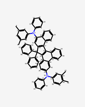 Cc1cc(C)cc(N(c2ccccc2)c2cc3c(c4ccccc24)-c2c(c4ccc(N(c5ccccc5)c5ccc(C)c(C)c5)cc4c4ccccc24)C3(c2ccccc2)c2ccccc2)c1